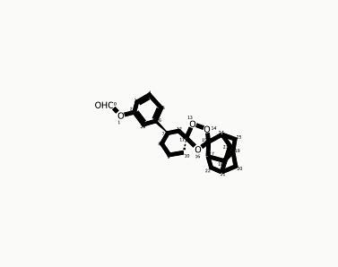 O=COc1cccc([C@@H]2CCC[C@]3(C2)OOC2(O3)C3CC4CC(C3)CC2C4)c1